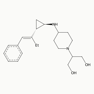 CC/C(=C\c1ccccc1)[C@@H]1C[C@H]1NC1CCN(C(CO)CO)CC1